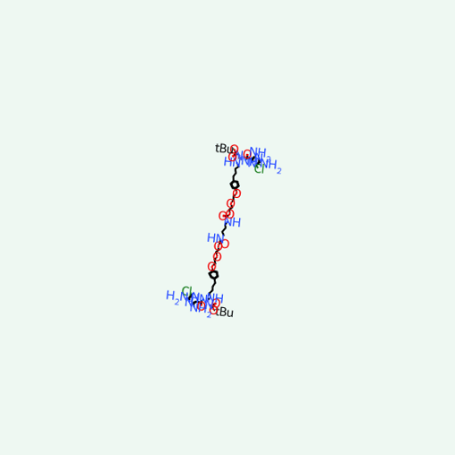 CC(C)(C)OC(=O)/N=C(\NCCCCc1ccc(OCCOCCOC(=O)NCCCCNC(=O)OCCOCCOc2ccc(CCCCN/C(=N\C(=O)OC(C)(C)C)NC(=O)c3nc(Cl)c(N)nc3N)cc2)cc1)NC(=O)c1nc(Cl)c(N)nc1N